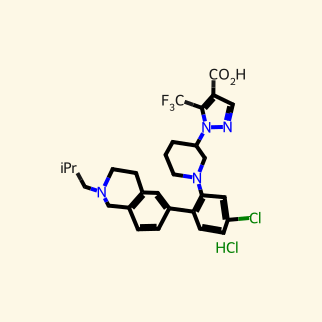 CC(C)CN1CCc2cc(-c3ccc(Cl)cc3N3CCCC(n4ncc(C(=O)O)c4C(F)(F)F)C3)ccc2C1.Cl